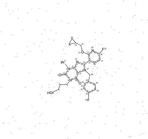 CC(C)n1c(=O)n(CCCO)c(=O)c2c1nc(-c1ccc(F)nc1OCC1CC1)n2Cc1ccc(F)cc1